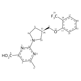 Cc1cc(C(=O)O)nc(N2CC[C@@H](COc3ccccc3C(F)(F)F)C2)n1